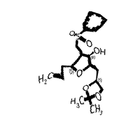 C=CC[C@@H]1OC(C[C@H]2COC(C)(C)O2)[C@H](O)C1CS(=O)(=O)c1ccccc1